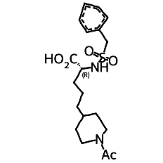 CC(=O)N1CCC(CCC[C@@H](NS(=O)(=O)Cc2ccccc2)C(=O)O)CC1